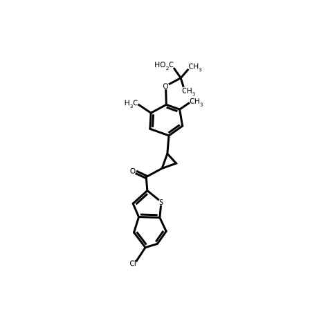 Cc1cc(C2CC2C(=O)c2cc3cc(Cl)ccc3s2)cc(C)c1OC(C)(C)C(=O)O